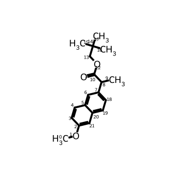 COc1ccc2cc(C(C)C(=O)OCC(C)(C)C)ccc2c1